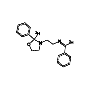 [2H]C(=NCCN1CCOC1([2H])c1ccccc1)c1ccccc1